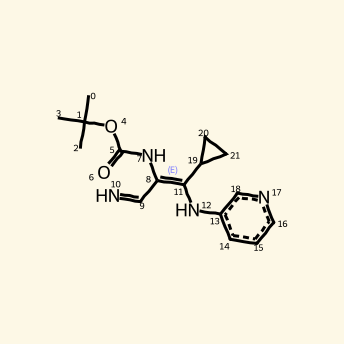 CC(C)(C)OC(=O)N/C(C=N)=C(/Nc1cccnc1)C1CC1